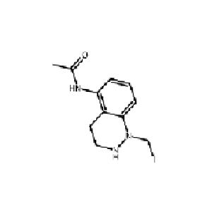 CC(=O)Nc1cccc2c1CCNN2CI